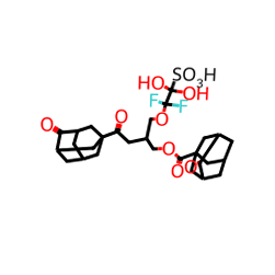 O=C1C2CC3CC1CC(C(=O)CC(COC(=O)C14CC5CC(C1)C(=O)C(C5)C4)COC(F)(F)C(O)(O)S(=O)(=O)O)(C3)C2